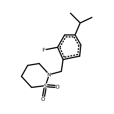 CC(C)c1ccc(CN2CCCCS2(=O)=O)c(F)c1